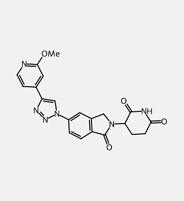 COc1cc(-c2cn(-c3ccc4c(c3)CN(C3CCC(=O)NC3=O)C4=O)nn2)ccn1